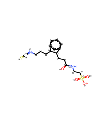 O=C(CCC1c2cccc(c2)C1CCCN=C=S)NCCS(=O)(=O)O